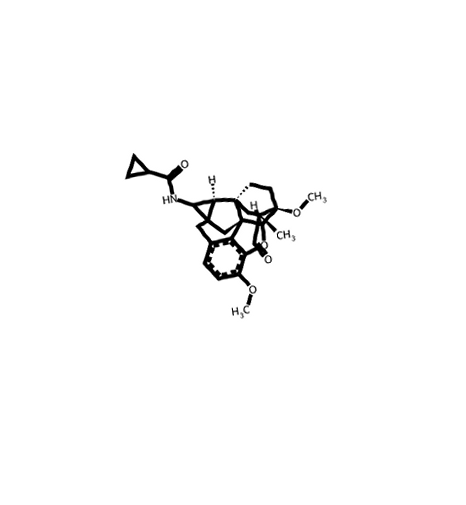 COc1ccc2c3c1O[C@H]1[C@@]4(OC)CC[C@@]5(C[C@@]4(C)C=O)[C@@H]4C(NC(=O)C6CC6)C4(C2)C[C@]315